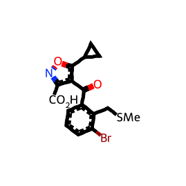 CSCc1c(Br)cccc1C(=O)c1c(C(=O)O)noc1C1CC1